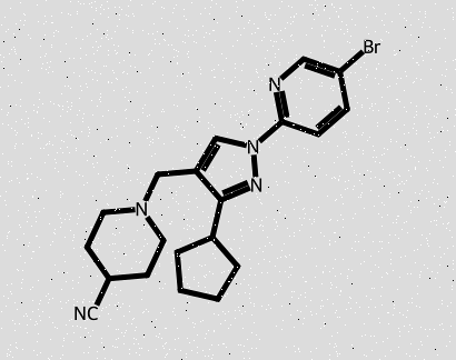 N#CC1CCN(Cc2cn(-c3ccc(Br)cn3)nc2C2CCCC2)CC1